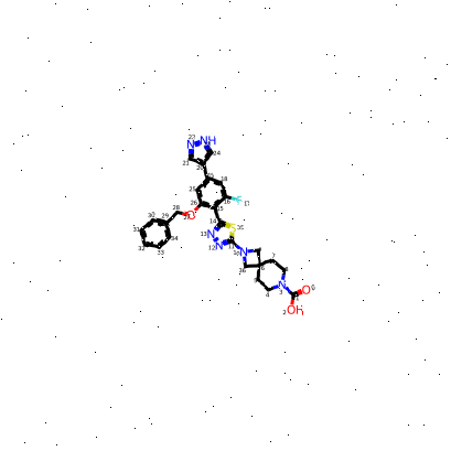 O=C(O)N1CCC2(CC1)CN(c1nnc(-c3c(F)cc(-c4cn[nH]c4)cc3OCc3ccccc3)s1)C2